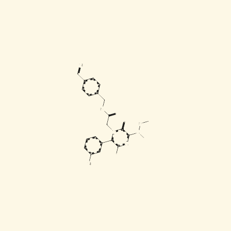 CCNN(CC)c1nc(Cl)c(-c2cccc(N)c2)n(CC(=O)NCc2ccc(C=N)cc2)c1=O